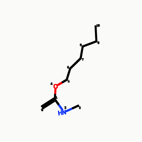 C=C(NC)OCCCCCC